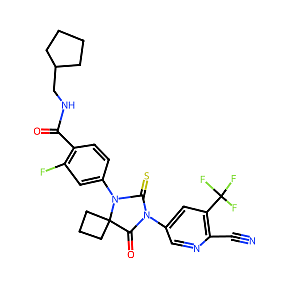 N#Cc1ncc(N2C(=O)C3(CCC3)N(c3ccc(C(=O)NCC4CCCC4)c(F)c3)C2=S)cc1C(F)(F)F